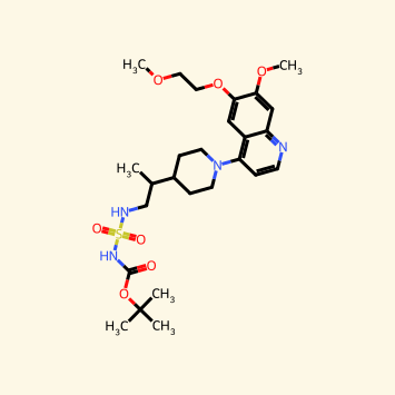 COCCOc1cc2c(N3CCC(C(C)CNS(=O)(=O)NC(=O)OC(C)(C)C)CC3)ccnc2cc1OC